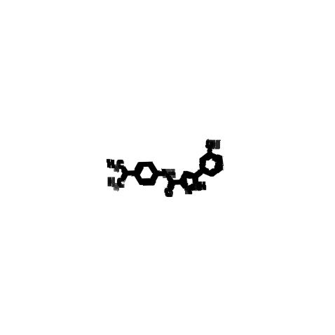 CC(C)C1=CCC(NC(=O)c2cc(-c3cccc(O)c3)[nH]n2)C=C1